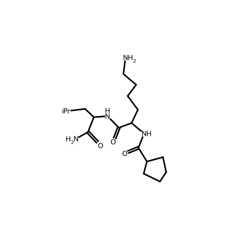 CC(C)CC(NC(=O)C(CCCCN)NC(=O)C1CCCC1)C(N)=O